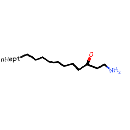 CCCCCCCCCCCCCCCC(=O)CCN